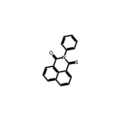 O=C1c2cccc3cccc(c23)C(=S)N1c1ccccc1